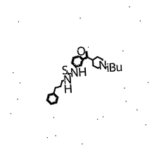 CCC(C)N1CCC(c2coc3ccc(NC(=S)NCCCc4ccccc4)cc23)CC1